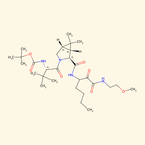 CCCCC(NC(=O)[C@@H]1[C@@H]2[C@H](CN1C(=O)[C@@H](NC(=O)OC(C)(C)C)C(C)(C)C)C2(C)C)C(=O)C(=O)NCCOC